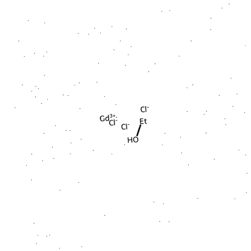 CCO.[Cl-].[Cl-].[Cl-].[Gd+3]